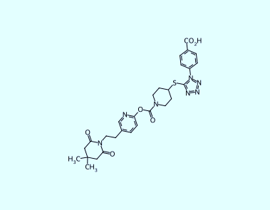 CC1(C)CC(=O)N(CCc2ccc(OC(=O)N3CCC(Sc4nnnn4-c4ccc(C(=O)O)cc4)CC3)nc2)C(=O)C1